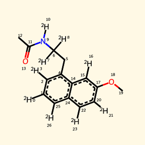 [2H]c1c([2H])c(CC([2H])([2H])N([2H])C(C)=O)c2c([2H])c(OC)c([2H])c([2H])c2c1[2H]